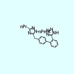 CCCCCn1nc(CCC)nc1Cc1ccc(-c2ccccc2-c2nnn[nH]2)cc1